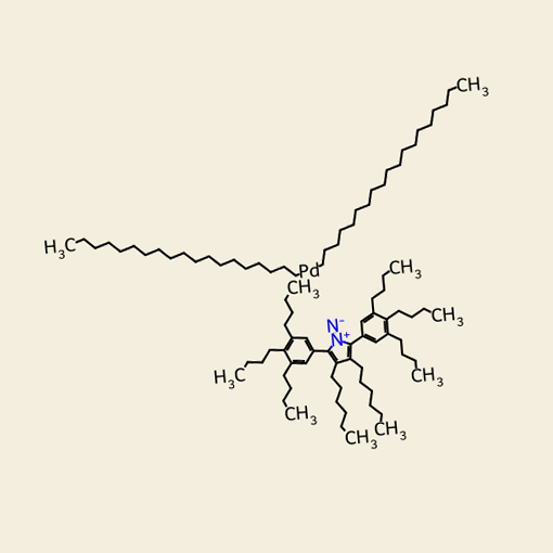 CCCCCCC1=C(c2cc(CCCC)c(CCCC)c(CCCC)c2)[N+](=[N-])C(c2cc(CCCC)c(CCCC)c(CCCC)c2)=C1CCCCCC.CCCCCCCCCCCCCCCCCC[CH2][Pd][CH2]CCCCCCCCCCCCCCCCCC